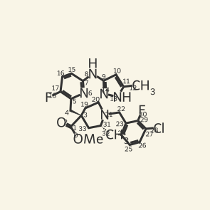 COC(=O)[C@]1(Cc2nc(Nc3cc(C)[nH]n3)ccc2F)CCN(Cc2cccc(Cl)c2F)[C@H](C)C1